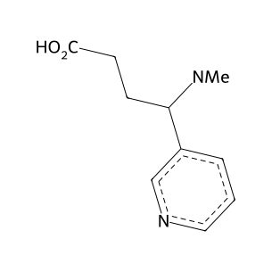 CNC(CCC(=O)O)c1cccnc1